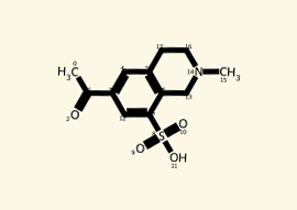 CC(=O)c1cc2c(c(S(=O)(=O)O)c1)CN(C)CC2